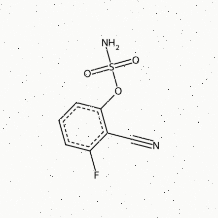 N#Cc1c(F)cccc1OS(N)(=O)=O